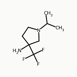 CC(C)N1CCC(N)(C(F)(F)F)C1